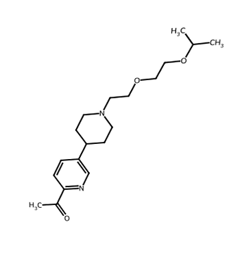 CC(=O)c1ccc(C2CCN(CCOCCOC(C)C)CC2)cn1